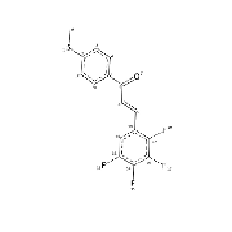 CSc1ccc(C(=O)C=Cc2cc(F)c(F)c(F)c2F)cc1